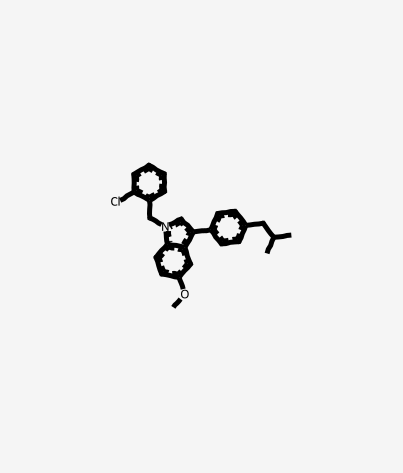 COc1ccc2c(c1)c(-c1ccc(CC(C)C)cc1)cn2Cc1ccccc1Cl